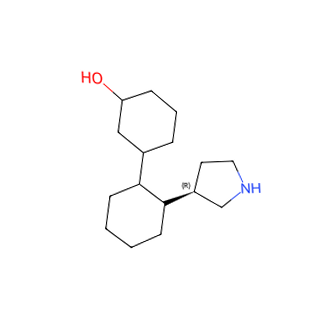 OC1CCCC(C2CCCCC2[C@H]2CCNC2)C1